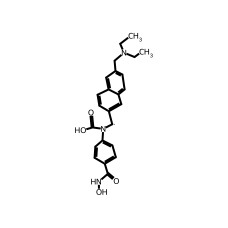 CCN(CC)Cc1ccc2cc([CH]N(C(=O)O)c3ccc(C(=O)NO)cc3)ccc2c1